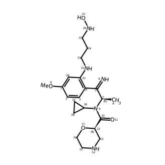 COc1ccc(C(=N)[C@@H](C)N(C(=O)[C@H]2CNCCO2)C2CC2)c(NCCCNO)c1